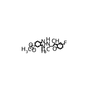 Cc1c([C@@H](Nc2nc3ccc(S(C)(=O)=O)cc3[nH]2)C(F)(F)F)oc2ccc(F)cc12